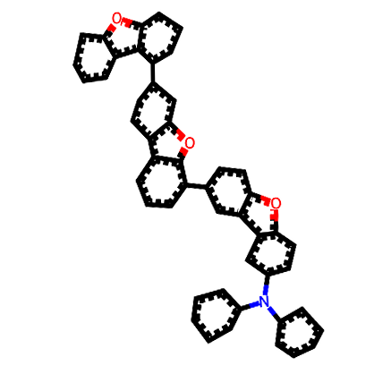 c1ccc(N(c2ccccc2)c2ccc3oc4ccc(-c5cccc6c5oc5cc(-c7cccc8oc9ccccc9c78)ccc56)cc4c3c2)cc1